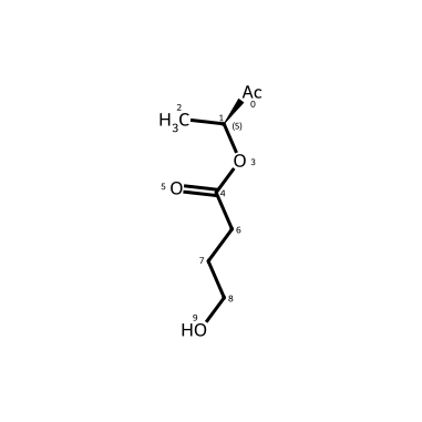 CC(=O)[C@H](C)OC(=O)CCCO